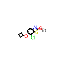 CCOc1nc2ccc(OC3CCC3)c(Cl)c2s1